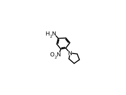 Nc1ccc(N2CCCC2)c([N+](=O)[O-])c1